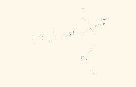 NNCC(F)(F)F.O.O.O